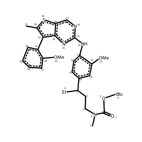 CCC(CCN(C)C(=O)OC(C)(C)C)c1ccc(Nc2ncc3sc(C)c(-c4ccccc4OC)c3n2)c(OC)c1